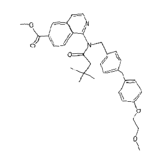 COCCOc1ccc(-c2ccc(CN(C(=O)CC(C)(C)C)c3nccc4cc(C(=O)OC)ccc34)cc2)cc1